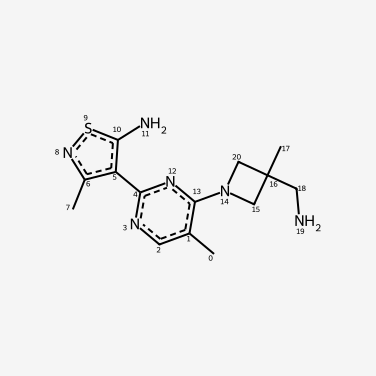 Cc1cnc(-c2c(C)nsc2N)nc1N1CC(C)(CN)C1